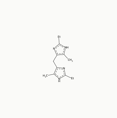 CCc1nc(Cc2nc(CC)[nH]c2C)c(C)[nH]1